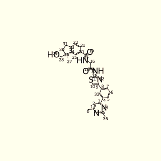 Cc1cc(-c2cccc(-c3csc(NC(=O)CNC(=O)c4ccc5c(c4)[C@@](C)(CO)CC5)n3)c2)nc(C)n1